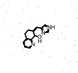 OC1C(=Cc2c[nH]cn2)CCc2cccnc21